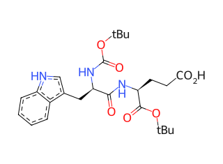 CC(C)(C)OC(=O)N[C@H](Cc1c[nH]c2ccccc12)C(=O)N[C@@H](CCC(=O)O)C(=O)OC(C)(C)C